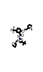 CN1CCCC1CCOc1ccc(C(F)(F)F)cc1C(=O)/N=c1\sc(C(C)(C)C)cn1C[C@H]1CCCO1